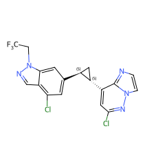 FC(F)(F)Cn1ncc2c(Cl)cc([C@H]3C[C@@H]3c3cc(Cl)nn4ccnc34)cc21